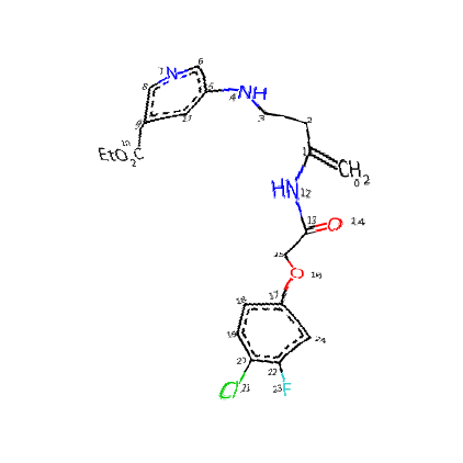 C=C(CCNc1cncc(C(=O)OCC)c1)NC(=O)COc1ccc(Cl)c(F)c1